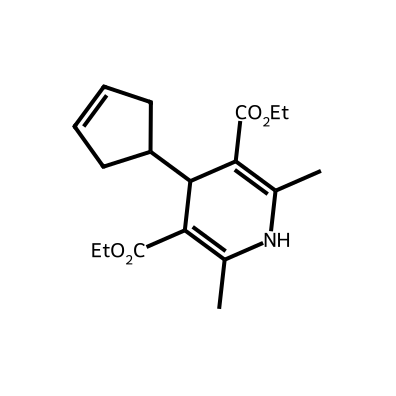 CCOC(=O)C1=C(C)NC(C)=C(C(=O)OCC)C1C1CC=CC1